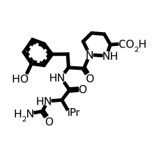 CC(C)C(NC(N)=O)C(=O)NC(Cc1cccc(O)c1)C(=O)N1CCCC(C(=O)O)N1